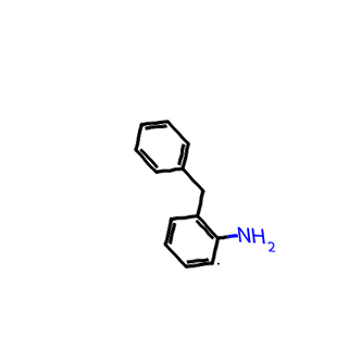 Nc1[c]cccc1Cc1ccccc1